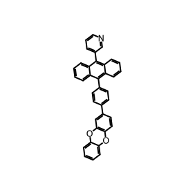 c1cncc(-c2c3ccccc3c(-c3ccc(-c4ccc5c(c4)Oc4ccccc4O5)cc3)c3ccccc23)c1